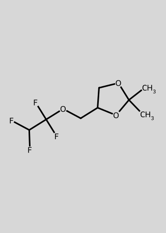 CC1(C)OCC(COC(F)(F)C(F)F)O1